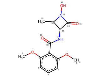 COc1cccc(OC)c1C(=O)N[C@@H]1C(=O)N(O)C1C